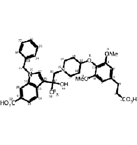 COc1cc(CCC(=O)O)cc(OC)c1OC1CCN(CC(O)(c2cn(Cc3ccccc3)c3cc(C(=O)O)ccc23)C(F)(F)F)CC1